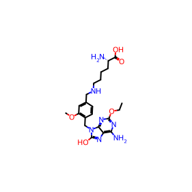 CCOc1nc(N)c2nc(O)n(Cc3ccc(CNCCCC[C@H](N)C(=O)O)cc3OC)c2n1